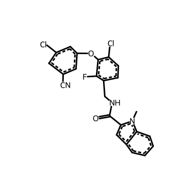 Cn1c(C(=O)NCc2ccc(Cl)c(Oc3cc(Cl)cc(C#N)c3)c2F)cc2ccccc21